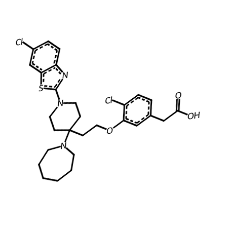 O=C(O)Cc1ccc(Cl)c(OCCC2(N3CCCCCC3)CCN(c3nc4ccc(Cl)cc4s3)CC2)c1